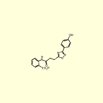 O=C(CCc1nc(-c2ccc(O)cc2)no1)Nc1ccccc1C(=O)O